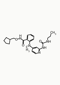 CCCNC(=O)Nc1cc(N(C)c2ccccc2C(=O)NOCC2CCCC2)ccn1